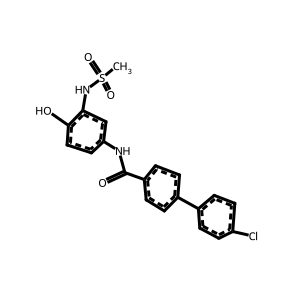 CS(=O)(=O)Nc1cc(NC(=O)c2ccc(-c3ccc(Cl)cc3)cc2)ccc1O